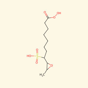 CC1OC1C(CCCCCCC(=O)OO)S(=O)(=O)O